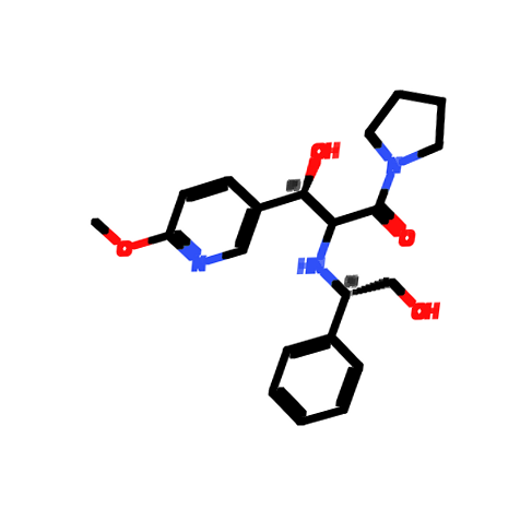 COc1ccc([C@@H](O)C(N[C@H](CO)c2ccccc2)C(=O)N2CCCC2)cn1